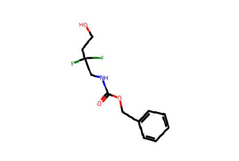 O=C(NCC(F)(F)CCO)OCc1ccccc1